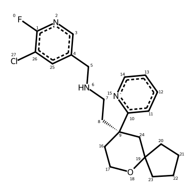 Fc1ncc(CNCC[C@@]2(c3ccccn3)CCOC3(CCCC3)C2)cc1Cl